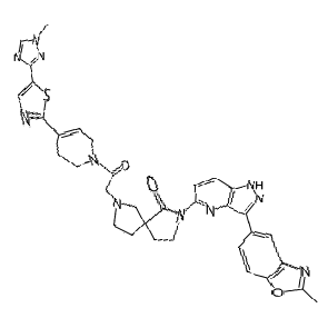 Cc1nc2cc(-c3n[nH]c4ccc(N5CCC6(CCN(CC(=O)N7CC=C(c8ncc(-c9ncn(C)n9)s8)CC7)C6)C5=O)nc34)ccc2o1